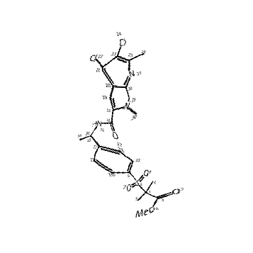 COC(=O)C(C)(C)S(=O)(=O)c1ccc([C@@H](C)NC(=O)c2cc3c(Cl)c(Cl)c(C)nc3n2C)cc1